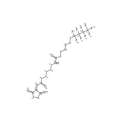 O=C(CCSSCCC(F)(F)C(F)(F)C(F)(F)C(F)(F)F)NCCCCCC(=O)ON1C(=O)CCC1=O